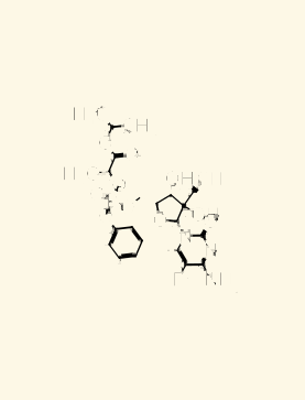 C#CC1(O)[C@@H](O)[C@@H](CO[P@](=O)(Oc2ccccc2)O[C@@H](C)C(=O)OC(C)C)O[C@H]1n1cc(F)c(N)nc1=O